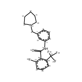 O=C(Nc1cccc(CN2CCCCC2)c1)c1c(F)cccc1C(F)(F)F